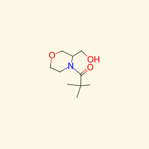 CC(C)(C)C(=O)N1CCOCC1CO